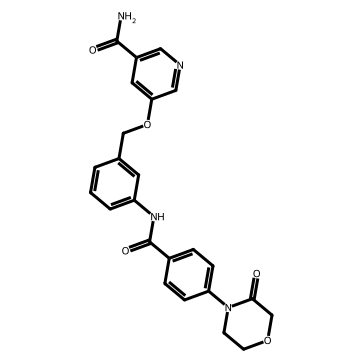 NC(=O)c1cncc(OCc2cccc(NC(=O)c3ccc(N4CCOCC4=O)cc3)c2)c1